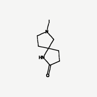 O=C1CCC2(CCN(I)C2)N1